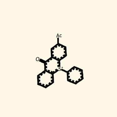 CC(=O)c1ccc2c(c1)c(=O)c1ccccc1[s+]2-c1ccccc1